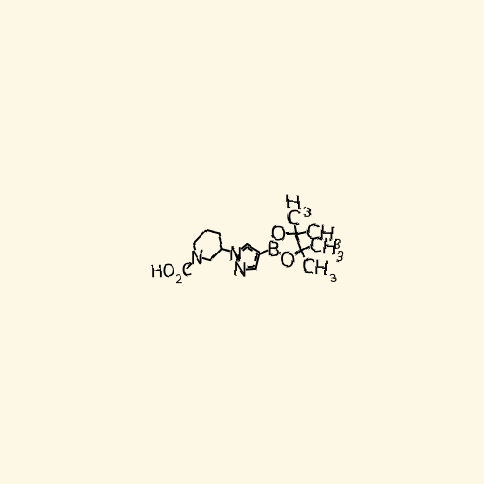 CC1(C)OB(c2cnn(C3CCCN(C(=O)O)C3)c2)OC1(C)C